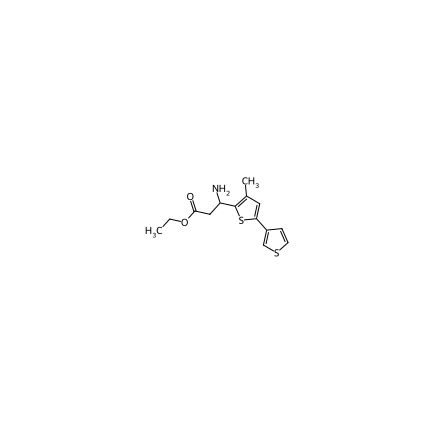 CCOC(=O)CC(N)c1sc(-c2ccsc2)cc1C